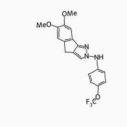 COc1cc2c(cc1OC)-c1nn(Nc3ccc(OC(F)(F)F)cc3)cc1C2